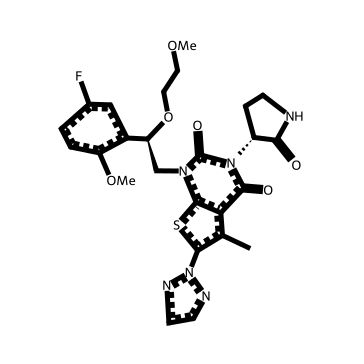 COCCO[C@@H](Cn1c(=O)n([C@@H]2CCNC2=O)c(=O)c2c(C)c(-n3nccn3)sc21)c1cc(F)ccc1OC